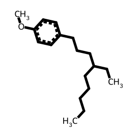 CCCCCC(CC)CCCc1ccc(OC)cc1